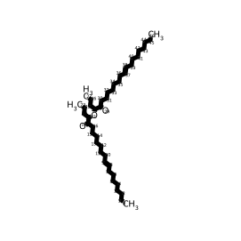 CCCCCCCCC=CCCCCCCCC(=O)C(CCC)OC(CCC)C(=O)CCCCCCCC=CCCCCCCCC